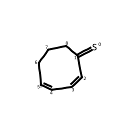 S=C1/C=C\C=[C]/CCC1